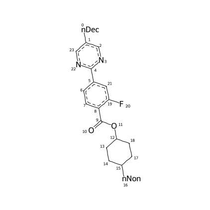 CCCCCCCCCCc1cnc(-c2ccc(C(=O)OC3CCC(CCCCCCCCC)CC3)c(F)c2)nc1